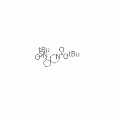 CC(C)(C)OC(=O)N1CCC2(CCC/C2=N\[S+]([O-])C(C)(C)C)CC1